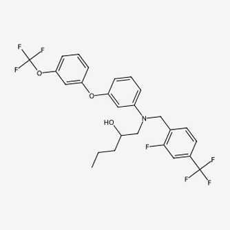 CCCC(O)CN(Cc1ccc(C(F)(F)F)cc1F)c1cccc(Oc2cccc(OC(F)(F)F)c2)c1